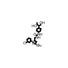 CC(O)C(CO)c1ccc(NC(=O)NCc2cc(C(C)(C)C)nn2-c2cccc(Cl)c2)cc1